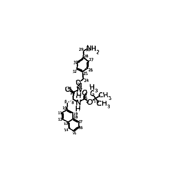 CC(C)(C)OC(=O)N[C@H](Cc1ccc2ccccc2c1)C(=O)NOCc1ccc(CN)cc1